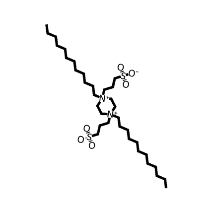 CCCCCCCCCCCC[N+]1(CCCS(=O)(=O)[O-])CC[N+](CCCCCCCCCCCC)(CCCS(=O)(=O)[O-])CC1